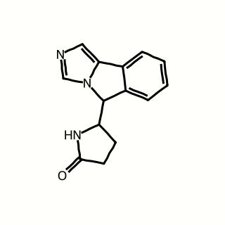 O=C1CCC(C2c3ccccc3-c3cncn32)N1